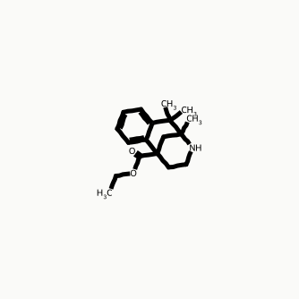 CCOC(=O)C12CCNC(C)(C1)C(C)(C)c1ccccc12